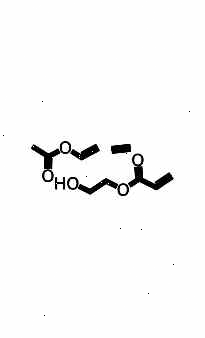 C=C.C=CC(=O)OCCO.C=COC(C)=O